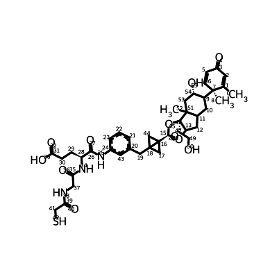 CC1=CC(=O)C=C[C@]1(C)C1CC2CC3O[C@@H](C45CC4(Cc4cccc(NC(=O)[C@H](CCC(=O)O)NC(=O)CNC(=O)CS)c4)C5)O[C@@]3(C(=O)CO)C2(C)C[C@@H]1O